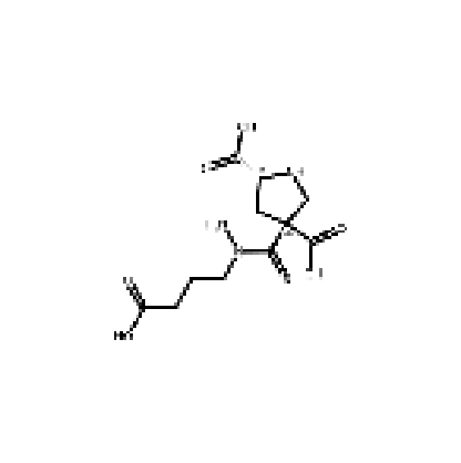 NN(CCCC(=O)O)C(=S)[C@]1(C(=O)O)CN[C@@H](C(=O)O)C1